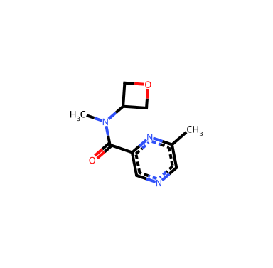 Cc1cncc(C(=O)N(C)C2COC2)n1